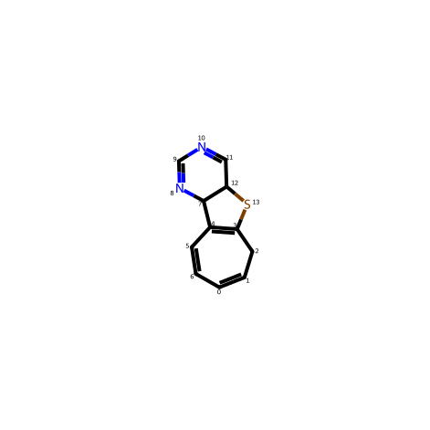 C1=CCC2=C(C=C1)C1N=CN=CC1S2